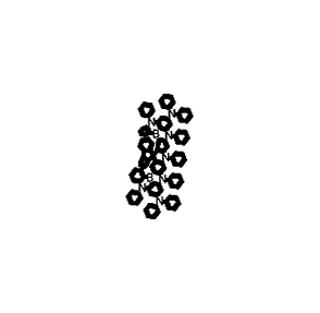 c1ccc(N(c2ccccc2)c2cc3c4c(c2)N(c2ccccc2)c2cc5c(cc2B4c2ccccc2N3c2ccccc2)C2(c3ccccc3-c3ccccc32)c2cc3c(cc2N5c2ccccc2)N(c2ccccc2)c2cc(N(c4ccccc4)c4ccccc4)cc4c2B3c2ccccc2N4c2ccccc2)cc1